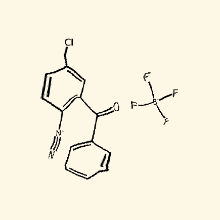 F[B-](F)(F)F.N#[N+]c1ccc(Cl)cc1C(=O)c1ccccc1